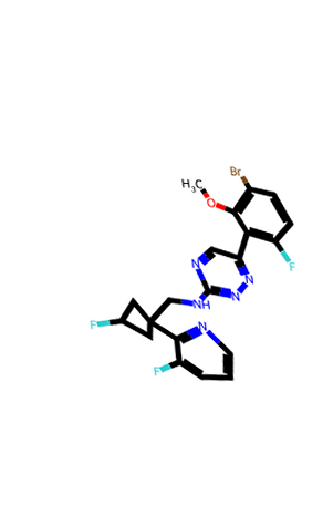 COc1c(Br)ccc(F)c1-c1cnc(NCC2(c3ncccc3F)CC(F)C2)nn1